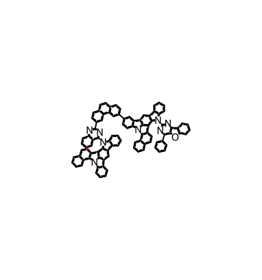 c1ccc(-c2nc(-n3c4ccccc4c4cc5c6cc(-c7ccc8ccc9ccc(-c%10nc(-n%11c%12ccccc%12c%12cc%13c%14ccccc%14n%14c%15c%16ccccc%16ccc%15c(c%12%11)c%13%14)c%11ccccc%11n%10)cc9c8c7)ccc6n6c7c8ccccc8ccc7c(c43)c56)nc3c2oc2ccccc23)cc1